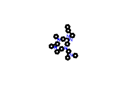 c1ccc(N(c2ccc(-c3nc4cccc(-c5ccc6ccccc6c5)c4nc3-c3ccc(N(c4ccccc4)c4ccc5c(c4)c4ccccc4n5-c4ccccc4)cc3)cc2)c2ccc3c(c2)c2ccccc2n3-c2ccccc2)cc1